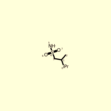 CC(C)C(C)CS([NH])(=O)=O